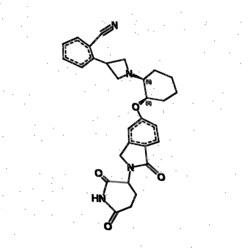 N#Cc1ccccc1C1CN([C@H]2CCCC[C@H]2Oc2ccc3c(c2)CN(C2CCC(=O)NC2=O)C3=O)C1